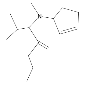 C=C(CCC)C(C(C)C)N(C)C1C=CCC1